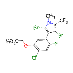 Cn1c(Br)c(-c2cc(OCC(=O)O)c(Cl)cc2F)c(Br)c1C(F)(F)F